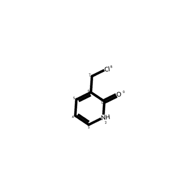 O=c1[nH]cccc1[CH]Cl